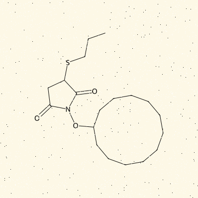 CCCSC1CC(=O)N(OC2CCCCCCCCCCC2)C1=O